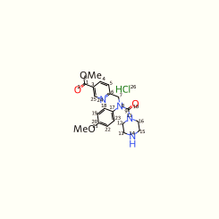 COC(=O)c1ccc(CN(C(=O)N2CCNCC2)c2ccc(OC)cc2)nc1.Cl